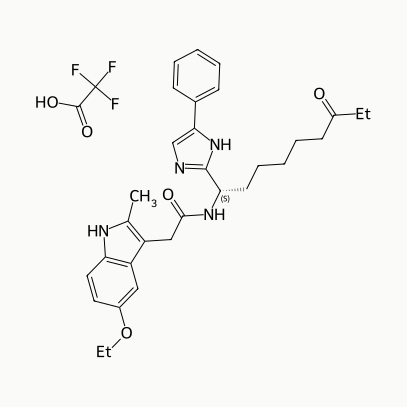 CCOc1ccc2[nH]c(C)c(CC(=O)N[C@@H](CCCCCC(=O)CC)c3ncc(-c4ccccc4)[nH]3)c2c1.O=C(O)C(F)(F)F